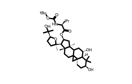 CC(C)[C@H](NC(=O)OC(C)(C)C)C(=O)O[C@H]1C[C@@]2(C)C3C[C@H](O)[C@H]4C(C)(C)[C@@H](O)CC[C@@]45CC35CC[C@]2(C)[C@H]1[C@@]1(C)CC[C@@H](C(C)(C)O)O1